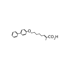 CC(=CCCCCCOc1ccc(-c2ccccc2)cc1)C(=O)O